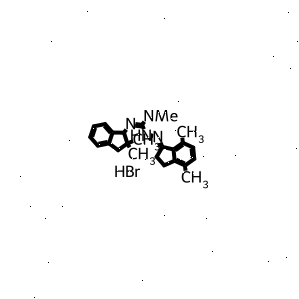 Br.CNC(=NC1c2ccccc2CC1(C)C)NN=C1CCc2c(C)ccc(C)c21